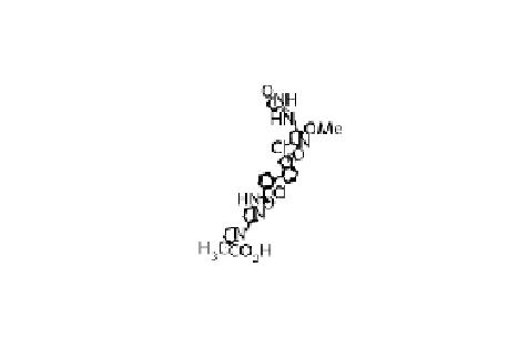 COc1nc(O[C@H]2CCc3c(-c4cccc(C(=O)Nc5ccc(CN6CCC[C@@](C)(C(=O)O)C6)cn5)c4Cl)cccc32)c(Cl)cc1CNC[C@@H]1CCC(=O)N1